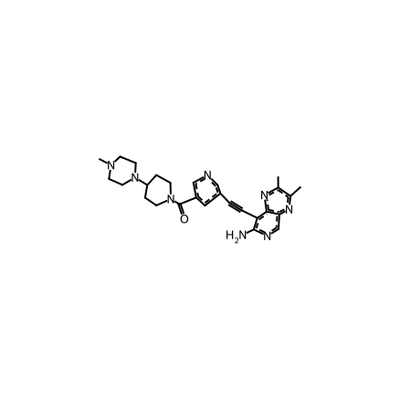 Cc1nc2cnc(N)c(C#Cc3cncc(C(=O)N4CCC(N5CCN(C)CC5)CC4)c3)c2nc1C